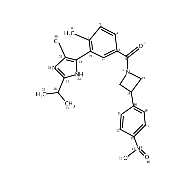 Cc1ccc(C(=O)N2CC(c3ccc([N+](=O)[O-])cc3)C2)cc1-c1[nH]c(C(C)C)nc1Cl